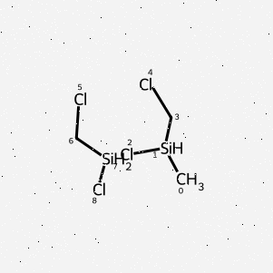 C[SiH](Cl)CCl.ClC[SiH2]Cl